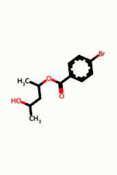 CC(O)CC(C)OC(=O)c1ccc(Br)cc1